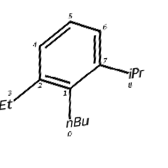 [CH2]CCCc1c(CC)cccc1C(C)C